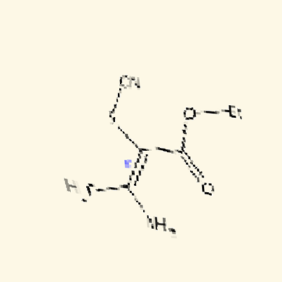 CCOC(=O)/C(SC#N)=C(/C)N